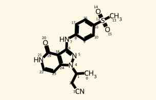 CC(CC#N)n1nc(Nc2ccc(S(C)(=O)=O)cc2)c2c(=O)[nH]ccc21